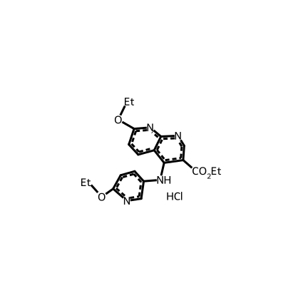 CCOC(=O)c1cnc2nc(OCC)ccc2c1Nc1ccc(OCC)nc1.Cl